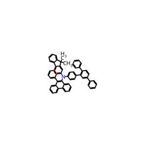 CC1(C)c2ccccc2-c2ccc(N(c3ccc(-c4cc(-c5ccccc5)ccc4-c4ccccc4)cc3)c3c(-c4ccccc4)c4ccccc4c4ccccc34)cc21